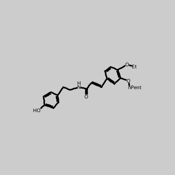 CCCCCOc1cc(/C=C/C(=O)NCCc2ccc(O)cc2)ccc1OCC